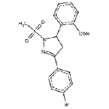 COc1ccccc1C1CC(c2ccc(Br)cc2)=NN1S(C)(=O)=O